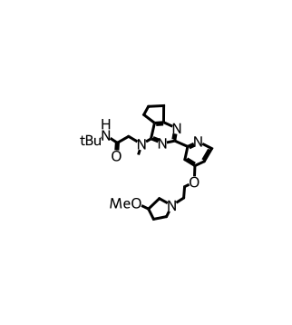 COC1CCN(CCOc2ccnc(-c3nc4c(c(N(C)CC(=O)NC(C)(C)C)n3)CCC4)c2)C1